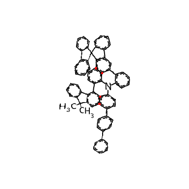 CC1(C)c2ccccc2-c2c(-c3ccccc3N(c3ccc(-c4ccc(-c5ccccc5)cc4)cc3)c3ccccc3-c3ccc4c(c3)-c3ccccc3C43c4ccccc4-c4ccccc43)cccc21